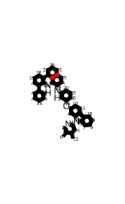 Cc1cnc(-n2c3ccccc3c3ccc(Oc4cccc(Nc5ccccc5Nc5c(-c6ccccc6)cccc5-c5ccccc5)c4)cc32)cc1C